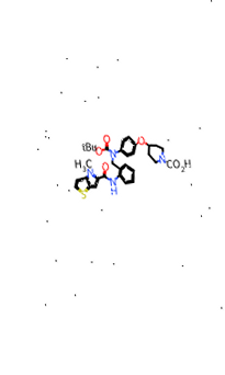 Cn1c(C(=O)Nc2ccccc2CN(C(=O)OC(C)(C)C)c2ccc(OC3CCN(C(=O)O)CC3)cc2)cc2sccc21